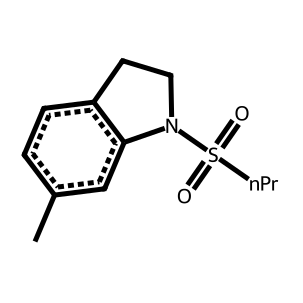 CCCS(=O)(=O)N1CCc2ccc(C)cc21